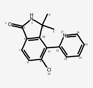 CC1(C)NC(=O)c2ccc(Cl)c(-c3ccccn3)c21